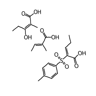 C/C=C(\C)C(=O)O.CC/C(O)=C(/C)C(=O)O.CC/C=C(\C(=O)O)S(=O)(=O)c1ccc(C)cc1